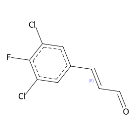 O=C/C=C/c1cc(Cl)c(F)c(Cl)c1